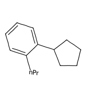 [CH2]CCc1ccccc1C1CCCC1